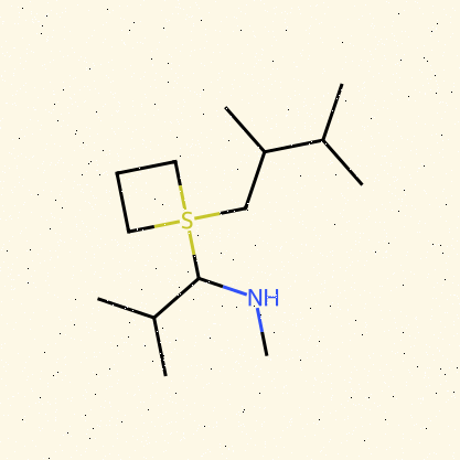 CNC(C(C)C)S1(CC(C)C(C)C)CCC1